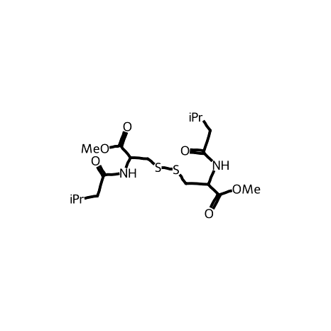 COC(=O)C(CSSCC(NC(=O)CC(C)C)C(=O)OC)NC(=O)CC(C)C